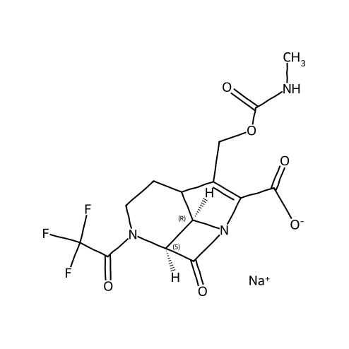 CNC(=O)OCC1=C(C(=O)[O-])N2C(=O)[C@@H]3[C@H]2C1CCN3C(=O)C(F)(F)F.[Na+]